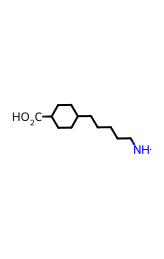 [NH]CCCCCC1CCC(C(=O)O)CC1